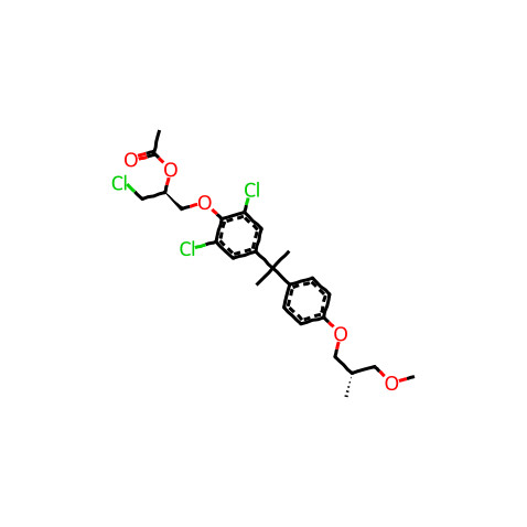 COC[C@H](C)COc1ccc(C(C)(C)c2cc(Cl)c(OC[C@@H](CCl)OC(C)=O)c(Cl)c2)cc1